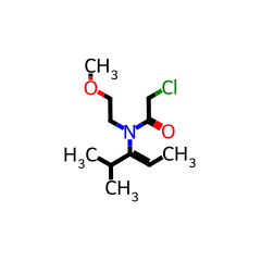 CC=C(C(C)C)N(CCOC)C(=O)CCl